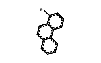 CC(C)c1cccc2c1ccc1ccccc12